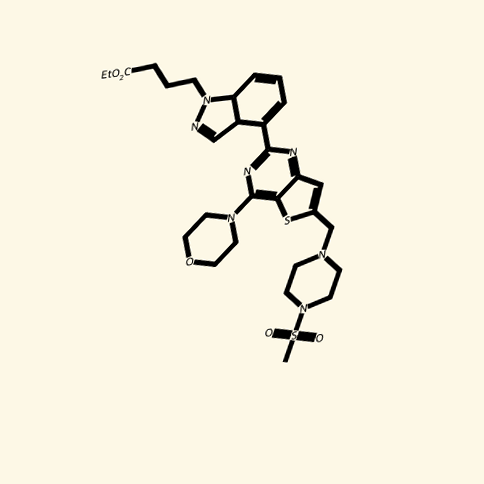 CCOC(=O)CCCN1N=CC2C(c3nc(N4CCOCC4)c4sc(CN5CCN(S(C)(=O)=O)CC5)cc4n3)=CC=CC21